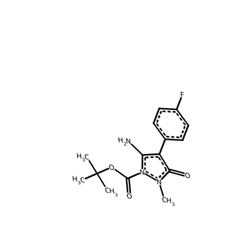 Cn1c(=O)c(-c2ccc(F)cc2)c(N)n1C(=O)OC(C)(C)C